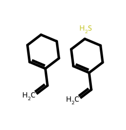 C=CC1=CCCCC1.C=CC1=CCCCC1.S